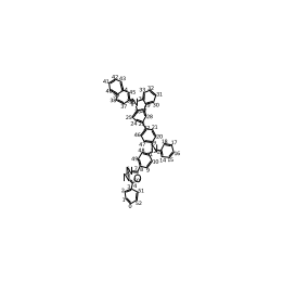 c1ccc(-c2nnc(-c3ccc(N(c4ccccc4)c4ccc(-c5ccc6c(c5)c5ccccc5n6-c5ccc6ccccc6c5)cc4)cc3)o2)cc1